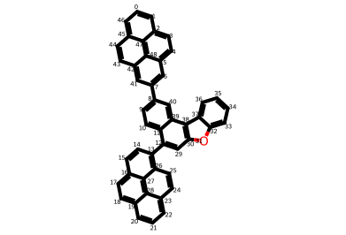 c1cc2ccc3cc(-c4ccc5c(-c6ccc7ccc8cccc9ccc6c7c89)cc6oc7ccccc7c6c5c4)cc4ccc(c1)c2c34